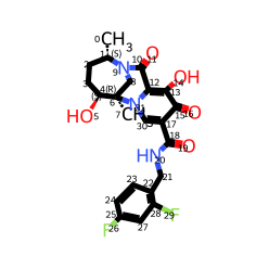 C[C@H]1CC[C@H](O)[C@@]2(C)CN1C(=O)c1c(O)c(=O)c(C(=O)NCc3ccc(F)cc3F)cn12